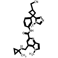 Cn1cnnc1C1(c2cccc(NC(=O)c3cc(CNC4(C)CC4)c4c(ccn4C)n3)c2)CC(CC#N)C1